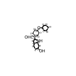 O=C[N+]1(c2cc3ccc(O)cc3[nH]2)CCC(Oc2ccccc2)CC1